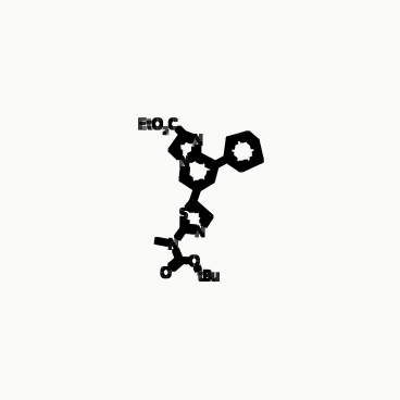 CCOC(=O)c1cn2cc(-c3cnc(N(C)C(=O)OC(C)(C)C)s3)cc(-c3ccccc3)c2n1